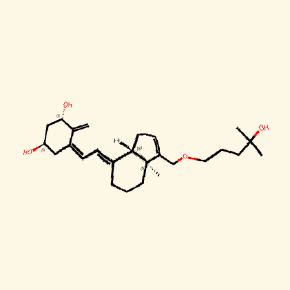 C=C1C(=CC=C2CCC[C@]3(C)C(COCCCC(C)(C)O)=CC[C@@H]23)C[C@@H](O)C[C@@H]1O